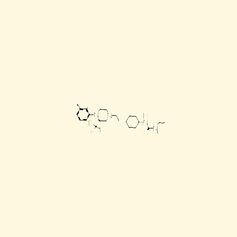 CCN(C)C(=O)N[C@H]1CC[C@H](CCN2CCN(c3cccc(Cl)c3Cl)[C@H](C(F)(F)F)C2)CC1